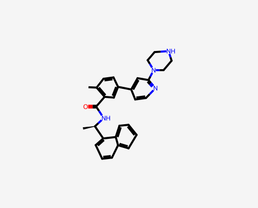 Cc1ccc(-c2ccnc(N3CCNCC3)c2)cc1C(=O)N[C@H](C)c1cccc2ccccc12